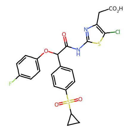 O=C(O)Cc1nc(NC(=O)C(Oc2ccc(F)cc2)c2ccc(S(=O)(=O)C3CC3)cc2)sc1Cl